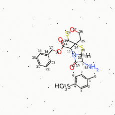 Cc1ccc(S(=O)(=O)O)cc1.NC1C(=O)N2C(C(=O)OCc3ccccc3)C3(CCOSC3)S[C@@H]12